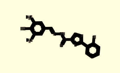 Cc1cc(/C=N/NC(=O)c2cnc(-c3ccccc3Cl)s2)cc(C)c1O